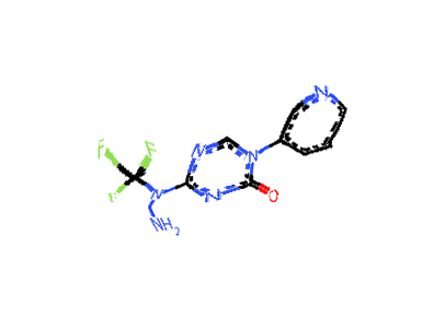 NN(c1ncn(-c2cccnc2)c(=O)n1)C(F)(F)F